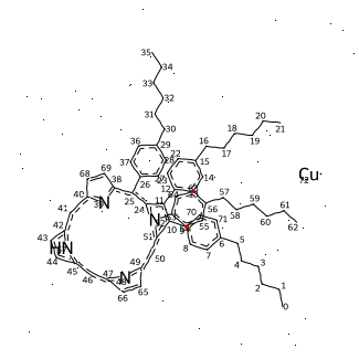 CCCCCCc1ccc(-c2c(-c3ccc(CCCCCC)cc3)c3c(-c4ccc(CCCCCC)cc4)c4nc(cc5ccc(cc6nc(cc2n3-c2ccc(CCCCCC)cc2)C=C6)[nH]5)C=C4)cc1.[Cu]